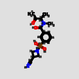 CC(=O)[C@@H](C)N(C)C(=O)c1cccc(S(=O)(=O)N2CC(C#N)C2)c1